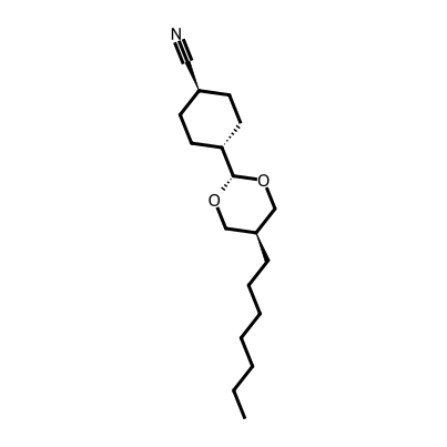 CCCCCCC[C@H]1CO[C@H]([C@H]2CC[C@H](C#N)CC2)OC1